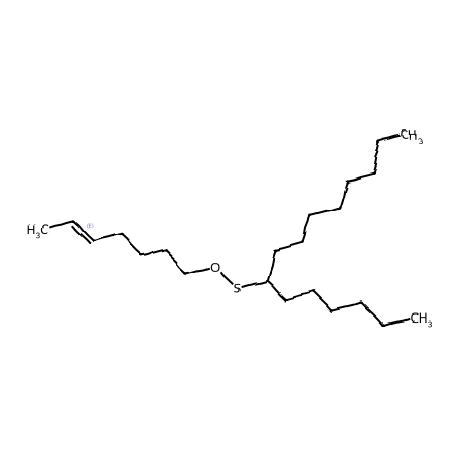 C/C=C/CCCCOSC(CCCCCC)CCCCCCCC